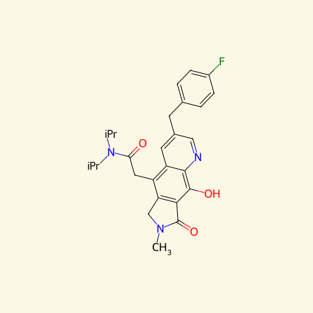 CC(C)N(C(=O)Cc1c2c(c(O)c3ncc(Cc4ccc(F)cc4)cc13)C(=O)N(C)C2)C(C)C